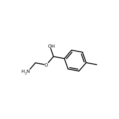 Cc1ccc(C(O)OCN)cc1